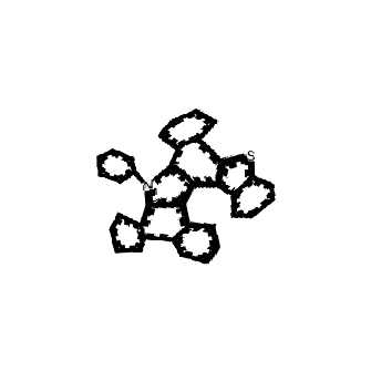 c1ccc(-n2c3c4ccccc4c4ccccc4c3c3c4c5ccccc5sc4c4ccccc4c32)cc1